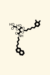 Cc1ccc(CCCCCCOC(C(=O)NCCCCCc2ccc3ccccc3c2)C(OCC(=O)O)C(=O)O)cc1C